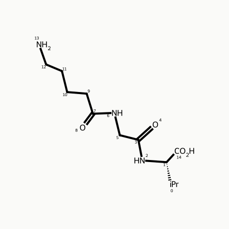 CC(C)[C@H](NC(=O)CNC(=O)CCCCN)C(=O)O